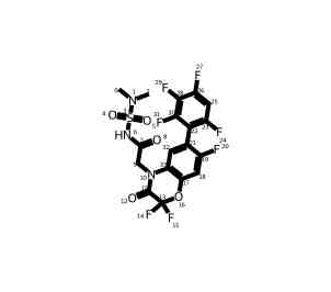 CN(C)S(=O)(=O)NC(=O)CN1C(=O)C(F)(F)Oc2cc(F)c(-c3c(F)cc(F)c(F)c3F)cc21